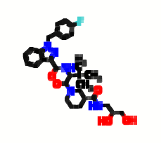 CC(C)(C)[C@H](NC(=O)c1nn(Cc2ccc(F)cc2)c2ccccc12)C(=O)N1CCCC(C(=O)NC[C@H](O)CO)C1